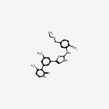 CCOCc1ccc(C)c(NC2NC=C(c3cc(C)cc(-c4c(C)cc[nH]c4=O)c3)O2)c1